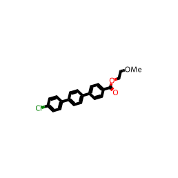 COCCOC(=O)c1ccc(-c2ccc(-c3ccc(Cl)cc3)cc2)cc1